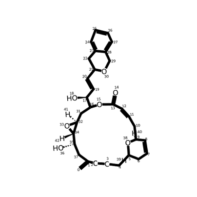 C=C1CCC[C@@H]2CC=C[C@@H](C/C=C\C(=O)OC([C@@H](O)/C=C/C3Cc4ccccc4CO3)C[C@@H]3O[C@H]3[C@@H](O)C1)O2